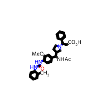 COc1cc(C(NC(C)=O)C2CCN(C(CC(=O)O)c3ccccc3)C2)ccc1NC(=O)Nc1ccccc1C